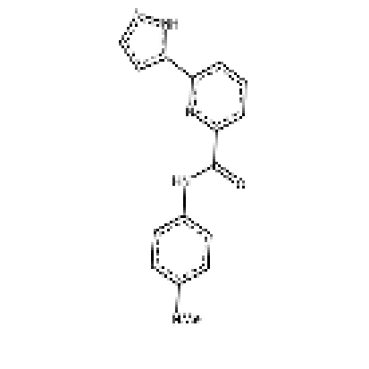 CNc1ccc(NC(=O)c2cccc(-c3ccn[nH]3)n2)cc1